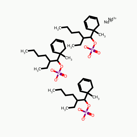 CCCCC(CC)C(OP(=O)([O-])[O-])C1(C)C=CC=CC1.CCCCC(CC)C(OP(=O)([O-])[O-])C1(C)C=CC=CC1.CCCCC(CC)C(OP(=O)([O-])[O-])C1(C)C=CC=CC1.[Nd+3].[Nd+3]